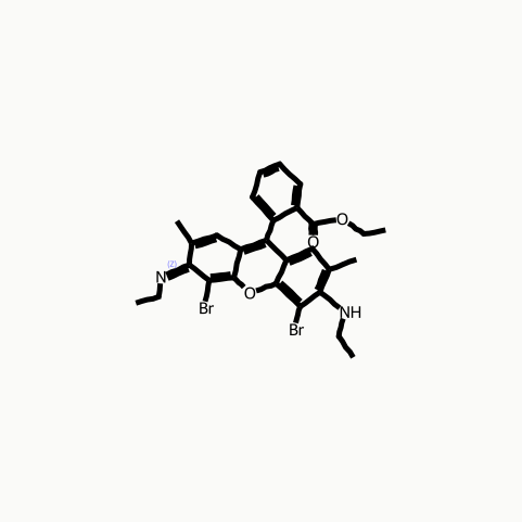 CC/N=c1/c(C)cc2c(-c3ccccc3C(=O)OCC)c3cc(C)c(NCC)c(Br)c3oc-2c1Br